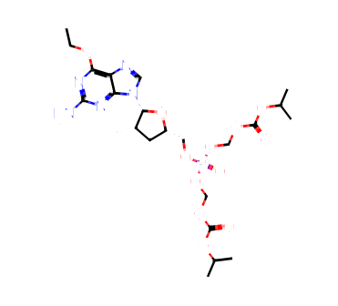 CCOc1nc(N)nc2c1ncn2[C@@H]1O[C@H](COP(=O)(OCOC(=O)OC(C)C)OCOC(=O)OC(C)C)C[C@@H]1C